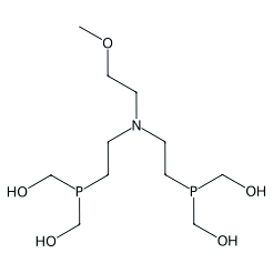 COCCN(CCP(CO)CO)CCP(CO)CO